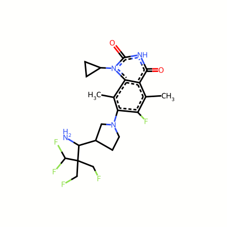 Cc1c(F)c(N2CCC(C(N)C(CF)(CF)C(F)F)C2)c(C)c2c1c(=O)[nH]c(=O)n2C1CC1